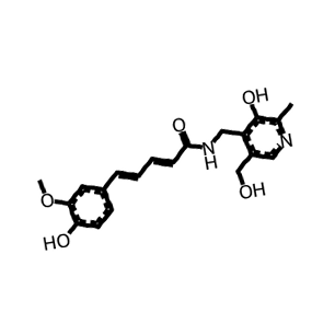 COc1cc(C=CC=CC(=O)NCc2c(CO)cnc(C)c2O)ccc1O